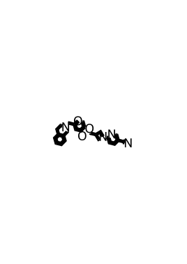 N#Cc1ccc(N2CC(COc3coc(CN4CCc5ccccc5C4)cc3=O)C2)nc1